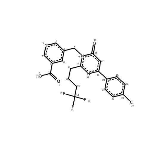 O=C(O)c1cncc(Cn2c(CCCC(F)(F)F)nc(-c3ccc(Cl)cc3)cc2=O)c1